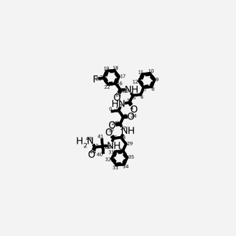 CC(NC(=O)C(Cc1ccccc1)NC(=O)c1cccc(F)c1)C(=O)C(=O)NC(Cc1ccccc1)C(=O)NC(C)(C)C(N)=O